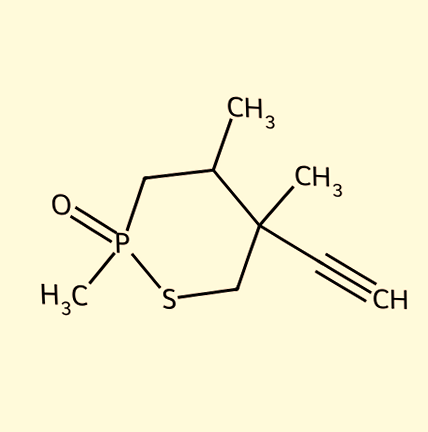 C#CC1(C)CSP(C)(=O)CC1C